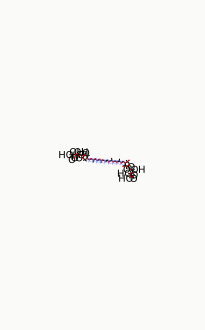 CC1=C(/C=C/C(C)=C/C=C/C(C)=C/C=C/C=C(C)/C=C/C=C(C)/C=C/C2=C(C)C(=O)C(OC(=O)C(O)C3OC(=O)C(O)=C3O)CC2(C)C)C(C)(C)CC(OCC(O)C2OC(=O)C(O)=C2O)C1=O